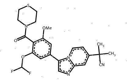 COc1cc(-c2cnc3cc(C(C)(C)C#N)ccn23)cc(OC(F)F)c1C(=O)N1CCSCC1